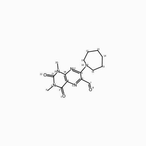 Cn1c(=O)c2nc(C=O)c(N3CCCCCC3)nc2n(C)c1=O